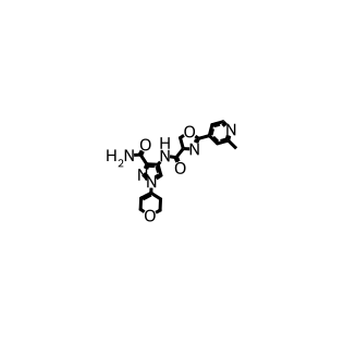 Cc1cc(C2=NC(C(=O)Nc3cn(C4=CCOCC4)nc3C(N)=O)CO2)ccn1